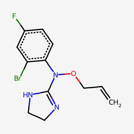 C=CCON(C1=NCCN1)c1ccc(F)cc1Br